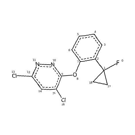 FC1(c2ccccc2Oc2nnc(Cl)cc2Cl)CC1